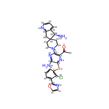 CC(=O)c1nc(Sc2cccc(-c3ncco3)c2Cl)c(N)nc1N1CCC2(CC1)Cc1ncccc1[C@H]2N